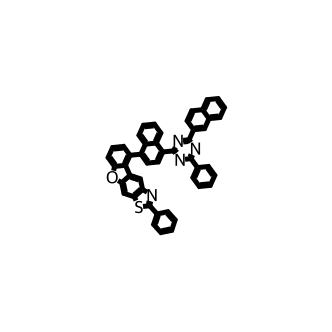 c1ccc(-c2nc(-c3ccc4ccccc4c3)nc(-c3ccc(-c4cccc5oc6cc7sc(-c8ccccc8)nc7cc6c45)c4ccccc34)n2)cc1